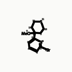 COC1(c2cccc(Br)n2)CCSCC1